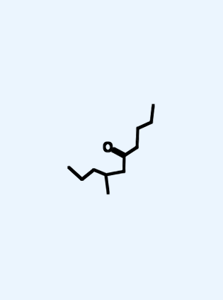 CCCCC(=O)CC(C)CCC